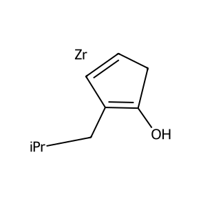 CC(C)CC1=C(O)CC=C1.[Zr]